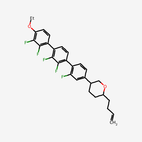 C=CCCC1CCC(c2ccc(-c3ccc(-c4ccc(OCC)c(F)c4F)c(F)c3F)c(F)c2)CO1